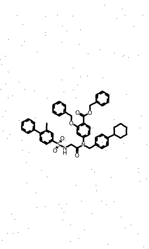 Cc1cc(S(=O)(=O)NCC(=O)N(Cc2ccc(C3CCCCC3)cc2)c2ccc(C(=O)OCc3ccccc3)c(OCc3ccccc3)c2)ccc1-c1ccccc1